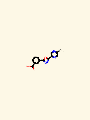 Cc1cnc(-c2nnc(-c3cccc(C(=O)O)c3)o2)cn1